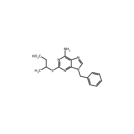 CC(CC(=O)O)Sc1nc(N)c2ncn(Cc3ccccc3)c2n1